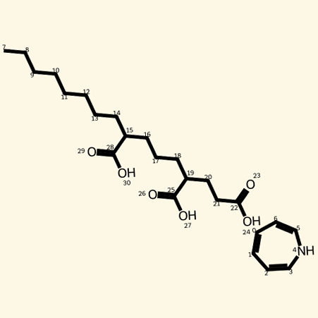 C1=CC=CNC=C1.CCCCCCCCC(CCCC(CCC(=O)O)C(=O)O)C(=O)O